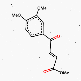 COC(=O)C=CC(=O)c1ccc(OC)c(OC)c1